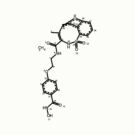 C.CC1=C(C(=O)NCCOc2ccc(C(=O)NO)cc2)NS(=O)(=O)c2cccc3oc1cc23